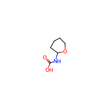 O=C(O)NC1CCCCO1